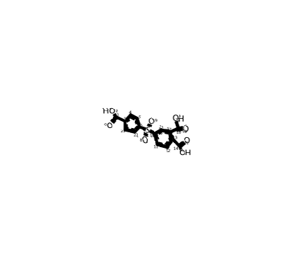 O=C(O)c1ccc(S(=O)(=O)c2ccc(C(=O)O)c(C(=O)O)c2)cc1